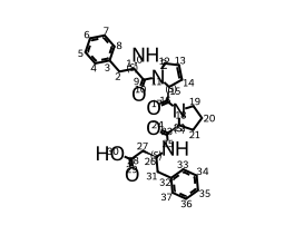 N[C@@H](Cc1ccccc1)C(=O)N1CC=C[C@H]1C(=O)N1CCC[C@H]1C(=O)N[C@H](CC(=O)O)Cc1ccccc1